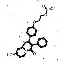 O=c1c(-c2ccccc2)c(-c2ccc(OCCO[N+](=O)[O-])cc2)nc2cc(O)ccn12